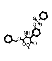 COC(=O)C(c1cccc(OS(=O)(=O)c2ccccc2)c1)C(N)C(=O)OCc1ccccc1